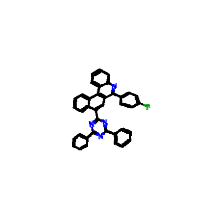 Fc1ccc(-c2nc3ccccc3c3c2cc(-c2nc(-c4ccccc4)nc(-c4ccccc4)n2)c2ccccc23)cc1